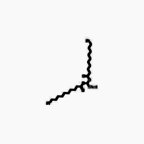 CCCCCC(OC(=O)CCCCCCCCCC(C)C)OC(=O)CCCCCCCCCC(C)C